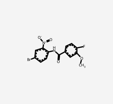 COc1cc(C(=O)Nc2ccc(Br)cc2[N+](=O)[O-])ccc1F